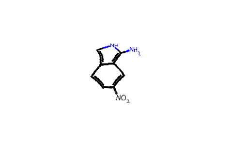 Nc1[nH]cc2ccc([N+](=O)[O-])cc12